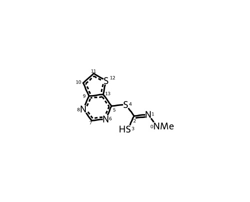 CN/N=C(\S)Sc1ncnc2ccsc12